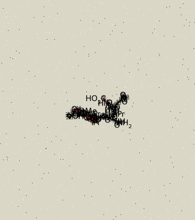 CC[C@H](C)[C@@H]([C@@H](CC(=O)N1CCC[C@H]1[C@H](OC)[C@@H](C)C(=O)N[C@H](C)[C@@H](O)c1ccccc1)OC)N(C)C(=O)[C@@H](NC(=O)[C@H](C(C)C)N(C)C(=O)OCc1ccc(NC(=O)[C@H](CCCNC(N)=O)NC(=O)[C@@H](NC(=O)C2C[C@@H](OC(=O)NCCC(=O)O)CN2C(=O)CCCCCN2C(=O)C=CC2=O)C(C)C)cc1)C(C)C